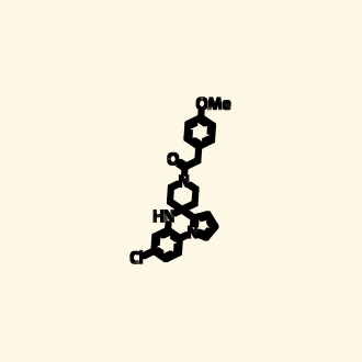 COc1ccc(CC(=O)N2CCC3(CC2)Nc2cc(Cl)ccc2-n2cccc23)cc1